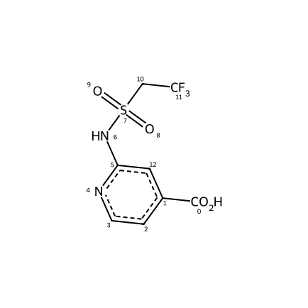 O=C(O)c1ccnc(NS(=O)(=O)CC(F)(F)F)c1